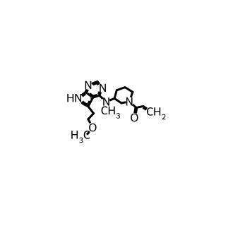 C=CC(=O)N1CCCC(N(C)c2ncnc3[nH]cc(CCOC)c23)C1